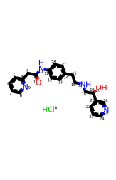 Cl.O=C(Cc1ccccn1)Nc1ccc(CCNCC(O)c2cccnc2)cc1